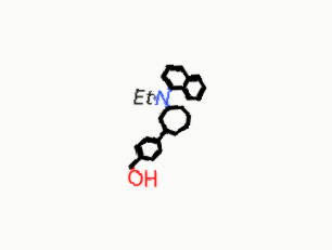 CCN(c1cccc2ccccc12)C1CCCCC(c2ccc(CO)cc2)C1